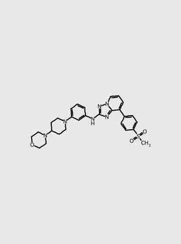 CS(=O)(=O)c1ccc(-c2cccn3nc(Nc4cccc(N5CCC(N6CCOCC6)CC5)c4)nc23)cc1